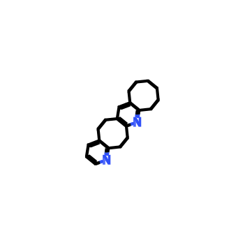 c1cnc2c(c1)CCc1cc3c(nc1CC2)CCCCCC3